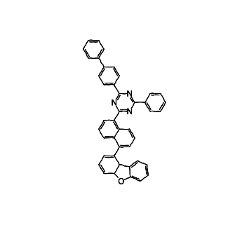 C1=CC2Oc3ccccc3C2C(c2cccc3c(-c4nc(-c5ccccc5)nc(-c5ccc(-c6ccccc6)cc5)n4)cccc23)=C1